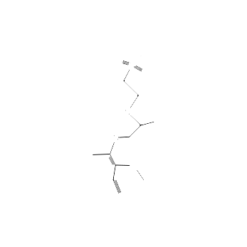 C=C/C(OC)=C(\C)NCC(C)NCCS(=O)(=O)O